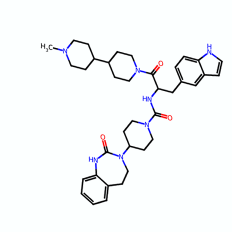 CN1CCC(C2CCN(C(=O)C(Cc3ccc4[nH]ccc4c3)NC(=O)N3CCC(N4CCc5ccccc5NC4=O)CC3)CC2)CC1